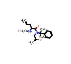 C=CCC(NC(=O)O)C(=O)N(CC(=C)Br)C(OC)(OC)c1ccccc1